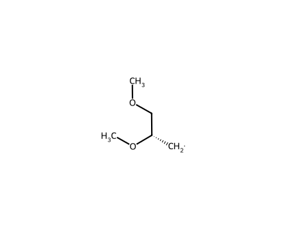 [CH2][C@@H](COC)OC